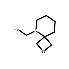 SCN1CCCCC12COC2